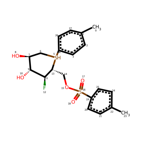 Cc1ccc([SH]2C[C@H](O)[C@@H](O)[C@H](F)[C@H]2COS(=O)(=O)c2ccc(C)cc2)cc1